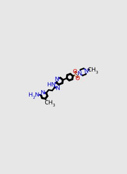 Cc1cc(N)nc(CCc2nc3cc(-c4ccc(S(=O)(=O)N5CCN(C)CC5)cc4)cnc3[nH]2)c1